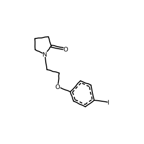 O=C1CCCN1CCOc1ccc(I)cc1